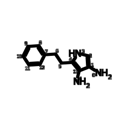 Nc1c[nH]c(CCc2ccccc2)c1N